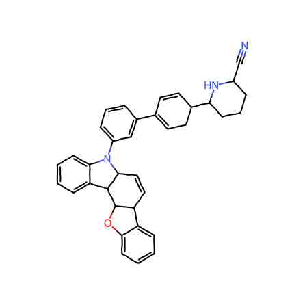 N#CC1CCCC(C2C=CC(c3cccc(N4c5ccccc5C5C6Oc7ccccc7C6C=CC54)c3)=CC2)N1